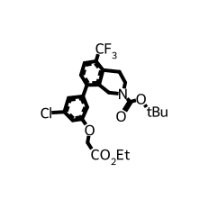 CCOC(=O)COc1cc(Cl)cc(-c2ccc(C(F)(F)F)c3c2CN(C(=O)OC(C)(C)C)CC3)c1